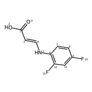 O=C(O)C=CNc1ccc(F)cc1F